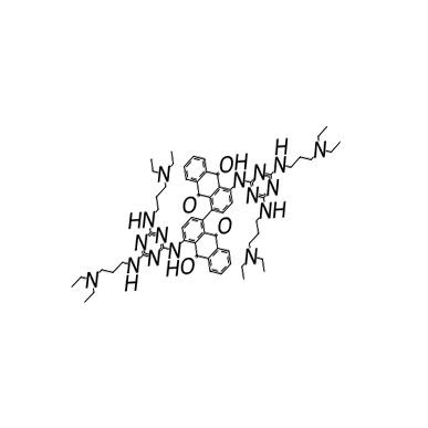 CCN(CC)CCCNc1nc(NCCCN(CC)CC)nc(Nc2ccc(-c3ccc(Nc4nc(NCCCN(CC)CC)nc(NCCCN(CC)CC)n4)c4c3C(=O)c3ccccc3C4=O)c3c2C(=O)c2ccccc2C3=O)n1